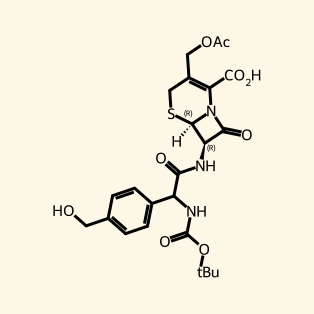 CC(=O)OCC1=C(C(=O)O)N2C(=O)[C@@H](NC(=O)C(NC(=O)OC(C)(C)C)c3ccc(CO)cc3)[C@H]2SC1